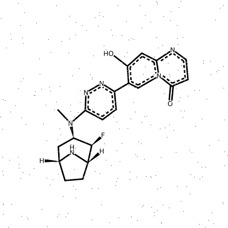 CN(c1ccc(-c2cn3c(=O)ccnc3cc2O)nn1)[C@@H]1C[C@H]2CC[C@H](N2)[C@@H]1F